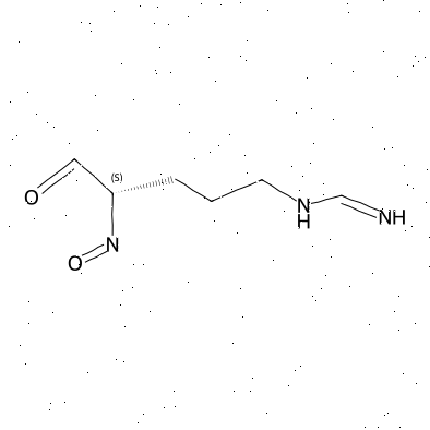 N=CNCCC[C@@H](C=O)N=O